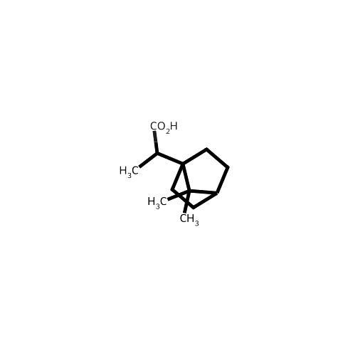 CC(C(=O)O)C12CCC(CC1)C2(C)C